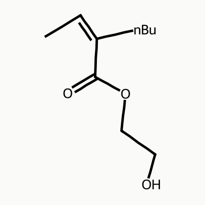 CC=C(CCCC)C(=O)OCCO